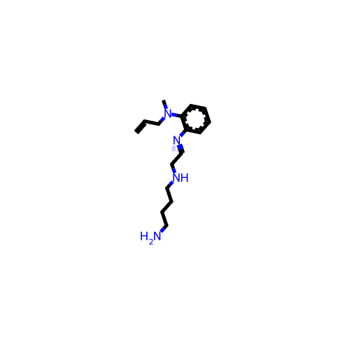 C=CCN(C)c1ccccc1/N=C/CNCCCCN